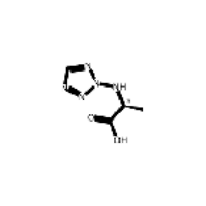 C[C@H](Nn1ncnn1)C(=O)O